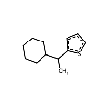 CC(c1cccs1)C1CCCCC1